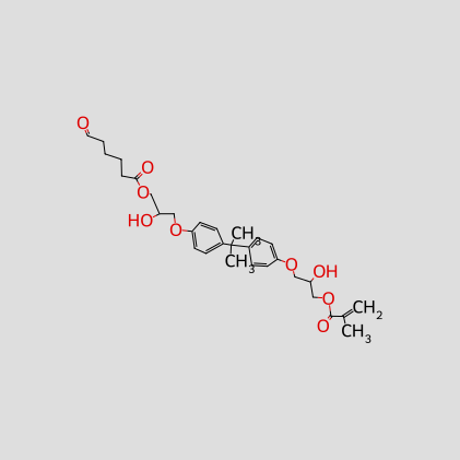 C=C(C)C(=O)OCC(O)COc1ccc(C(C)(C)c2ccc(OCC(O)COC(=O)CCCCC=O)cc2)cc1